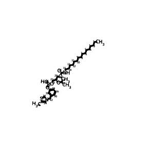 CCCCCCCCCCCCCCCCNC(=O)OCC(COP(O)Oc1cccc(CN2C=C(C)SC2)c1)OC(C)C